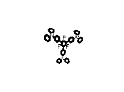 Fc1c(-c2ccc(N(c3ccccc3)c3ccccc3)cc2)c(F)c(-c2ccc(N(c3ccccc3)c3ccccc3)cc2)c(F)c1-c1ccc(N(c2ccccc2)c2ccccc2)cc1